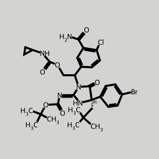 CC(C)(C)C[C@]1(c2ccc(Br)cc2)NC(=NC(=O)OC(C)(C)C)N(C(COC(=O)NC2CC2)c2ccc(Cl)c(C(N)=O)c2)C1=O